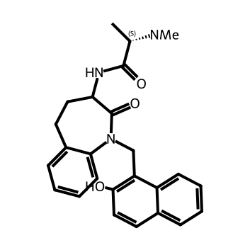 CN[C@@H](C)C(=O)NC1CCc2ccccc2N(Cc2c(O)ccc3ccccc23)C1=O